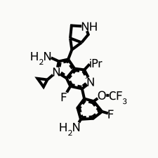 CC(C)c1nc(-c2cc(N)cc(F)c2OC(F)(F)F)c(F)c2c1c(C1C3CNCC31)c(N)n2C1CC1